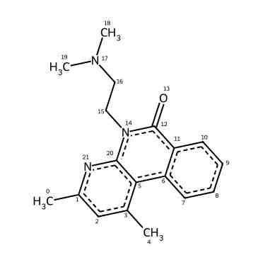 Cc1cc(C)c2c3ccccc3c(=O)n(CCN(C)C)c2n1